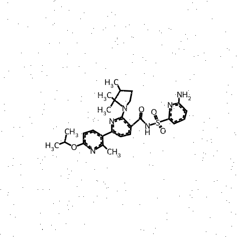 Cc1nc(OC(C)C)ccc1-c1ccc(C(=O)NS(=O)(=O)c2cccc(N)n2)c(N2CCC(C)C2(C)C)n1